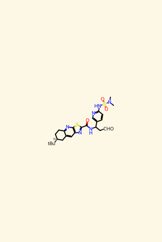 CN(C)S(=O)(=O)Nc1ccc(C(CC=O)NC(=O)c2nc3cc4c(nc3s2)CC[C@H](C(C)(C)C)C4)cn1